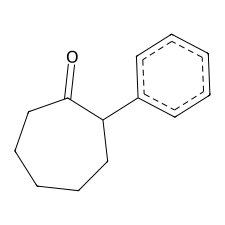 O=C1CCCCCC1c1ccccc1